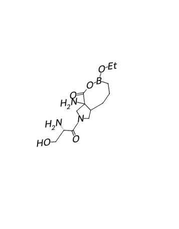 CCOB1CCCC2CN(C(=O)[C@@H](N)CO)CC2(N)C(=O)O1